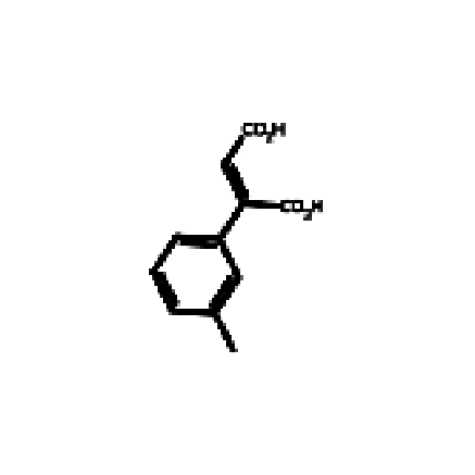 Cc1cccc(C(=CC(=O)O)C(=O)O)c1